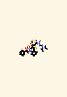 CCN(CC)CCN(C)C(=O)c1sc2c(c1OC)c(=O)n(CC(=O)c1ccccc1)c1ccccc21